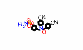 N#Cc1ccc(C(=O)N(Cc2ccc(OS(N)(=O)=O)cc2)c2ccc(C#N)cc2)cc1